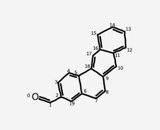 O=Cc1ccc2c(ccc3cc4ccccc4cc32)c1